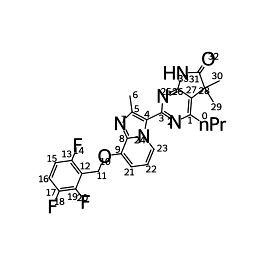 CCCc1nc(-c2c(C)nc3c(OCc4c(F)ccc(F)c4F)cccn23)nc2c1C(C)(C)C(=O)N2